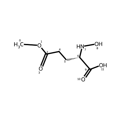 COC(=O)CC[C@H](NO)C(=O)O